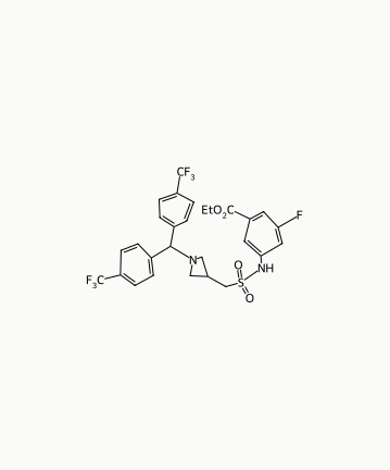 CCOC(=O)c1cc(F)cc(NS(=O)(=O)CC2CN(C(c3ccc(C(F)(F)F)cc3)c3ccc(C(F)(F)F)cc3)C2)c1